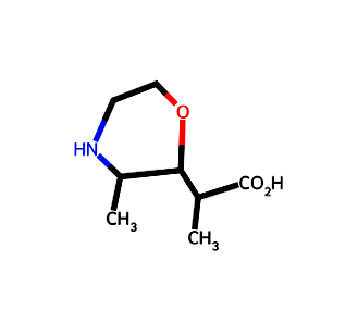 CC1NCCOC1C(C)C(=O)O